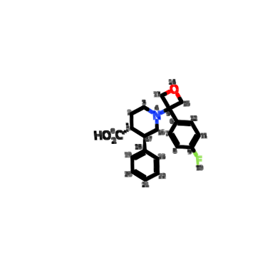 O=C(O)[C@@H]1CCN(C2(c3ccc(F)cc3)COC2)C[C@H]1c1ccccc1